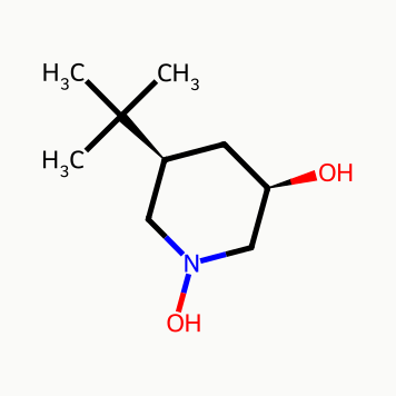 CC(C)(C)[C@H]1C[C@@H](O)CN(O)C1